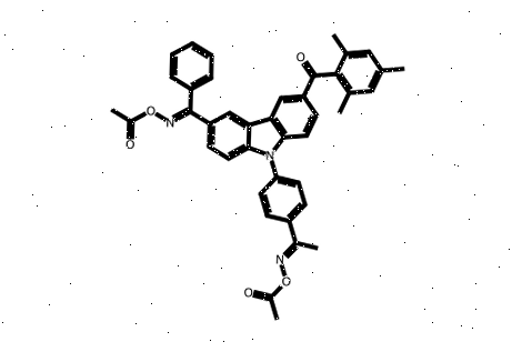 CC(=O)O/N=C(\C)c1ccc(-n2c3ccc(C(=O)c4c(C)cc(C)cc4C)cc3c3cc(/C(=N/OC(C)=O)c4ccccc4)ccc32)cc1